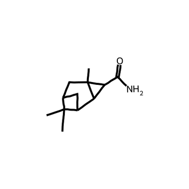 CC1(C)C2CC1C1C(C(N)=O)C1(C)C2